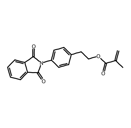 C=C(C)C(=O)OCCc1ccc(N2C(=O)c3ccccc3C2=O)cc1